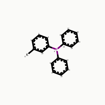 [K][c]1cccc(P(c2ccccc2)c2ccccc2)c1